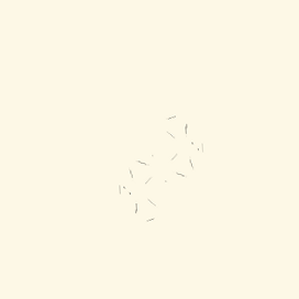 CC1(C)c2ccc3[nH]c4ccccc4c3c2Oc2ccc3[nH]c4ccccc4c3c21